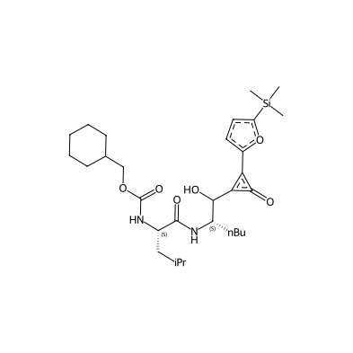 CCCC[C@H](NC(=O)[C@H](CC(C)C)NC(=O)OCC1CCCCC1)C(O)c1c(-c2ccc([Si](C)(C)C)o2)c1=O